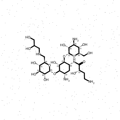 NCC[C@H](O)C(=O)N[C@@H]1C[C@H](N)C(O[C@H]2O[C@H](CNCC(O)CO)[C@@H](O)[C@H](O)[C@H]2O)[C@H](O)[C@H]1O[C@H]1O[C@H](CO)[C@@H](O)[C@H](N)[C@H]1O